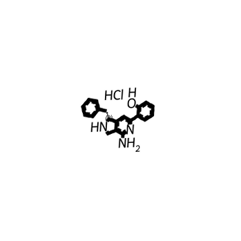 Cl.Nc1nc(-c2ccccc2O)cc2c1CN[C@@H]2Cc1ccccc1